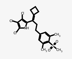 Cc1cc(CCC(=C2CCC2)c2[nH]c(Cl)c(Cl)c2Cl)cc(C)c1S(C)(=O)=O